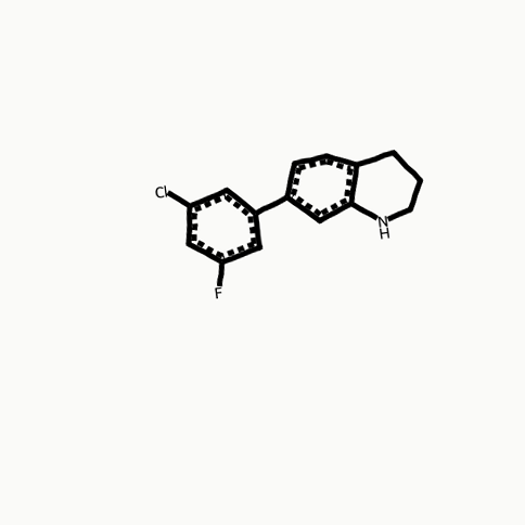 Fc1cc(Cl)cc(-c2ccc3c(c2)NCCC3)c1